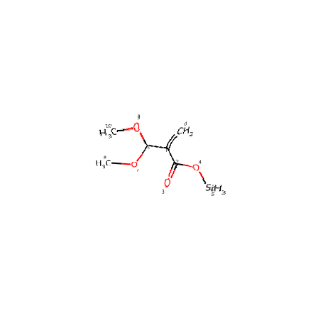 C=C(C(=O)O[SiH3])C(OC)OC